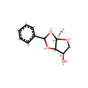 O[C@@H]1CO[C@@H]2OC(c3ccccc3)OC21